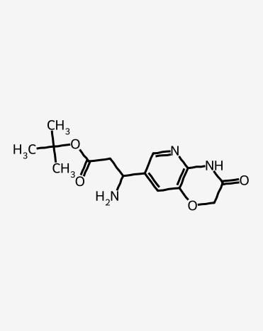 CC(C)(C)OC(=O)CC(N)c1cnc2c(c1)OCC(=O)N2